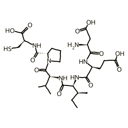 CC[C@H](C)[C@H](NC(=O)[C@H](CCC(=O)O)NC(=O)[C@@H](N)CC(=O)O)C(=O)N[C@H](C(=O)N1CCC[C@H]1C(=O)N[C@@H](CS)C(=O)O)C(C)C